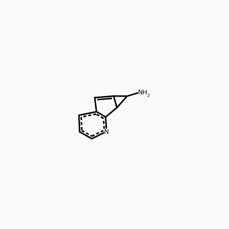 NC1C2=Cc3cccnc3C21